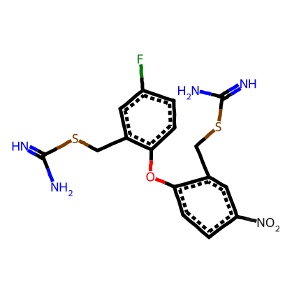 N=C(N)SCc1cc(F)ccc1Oc1ccc([N+](=O)[O-])cc1CSC(=N)N